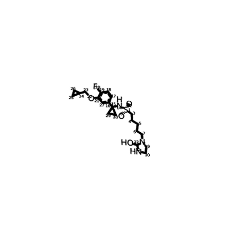 O=S(=O)(CCCCCN1CCNC1O)NC1(c2ccc(F)c(OCC3CC3)c2)CC1